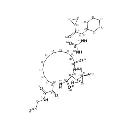 C=CCNC(=O)C(=O)[C@@H]1CCCCCCCC[C@H](NC(=O)N[C@H](C(=O)C2CC2)C2CCCCC2)C(=O)N2C[C@@H]3C=C3[C@H]2C(=O)N1